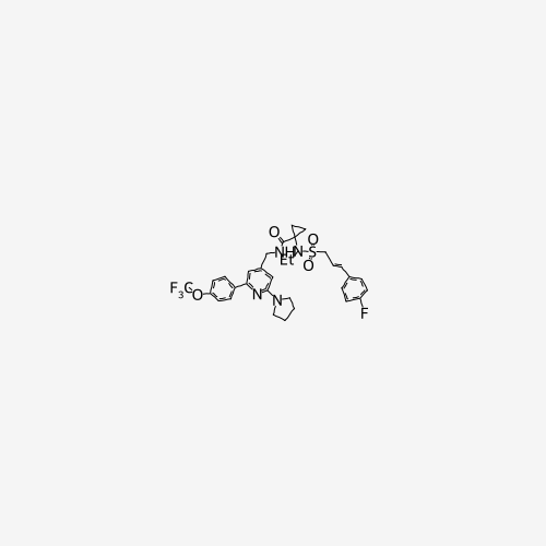 CCN(C1(C(=O)NCc2cc(-c3ccc(OC(F)(F)F)cc3)nc(N3CCCC3)c2)CC1)S(=O)(=O)CC=Cc1ccc(F)cc1